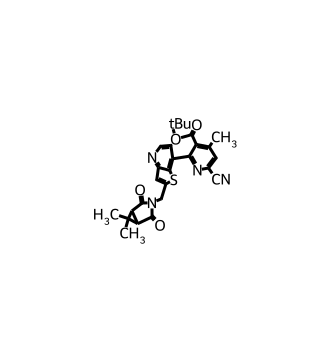 Cc1cc(C#N)nc(-c2ccnc3cc(CN4C(=O)C5C(C4=O)C5(C)C)sc23)c1C(=O)OC(C)(C)C